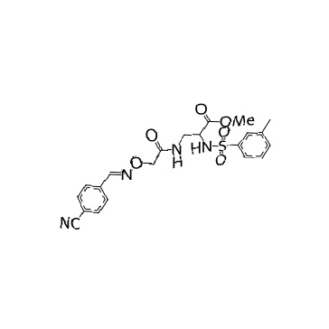 COC(=O)C(CNC(=O)CO/N=C/c1ccc(C#N)cc1)NS(=O)(=O)c1cccc(C)c1